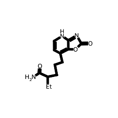 CCC(CCCc1cc[nH]c2nc(=O)oc1-2)C(N)=O